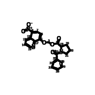 O=C(OCOc1ccc([N+](=O)[O-])c2cccnc12)C1CCCN1C(=O)c1ccccn1